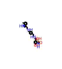 Cc1cccc2c(CCNCc3ccc(CCNCC(O)c4ccc(O)c5[nH]c(=O)sc45)cc3)c[nH]c12